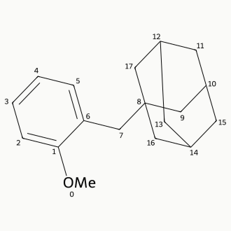 COc1ccccc1CC12CC3CC(CC(C3)C1)C2